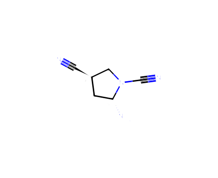 N#C[C@@H]1C[C@@H](N)N(C#N)C1